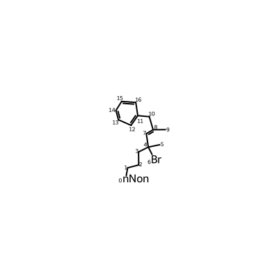 CCCCCCCCCCCCC(C)(Br)C=C(C)Cc1ccccc1